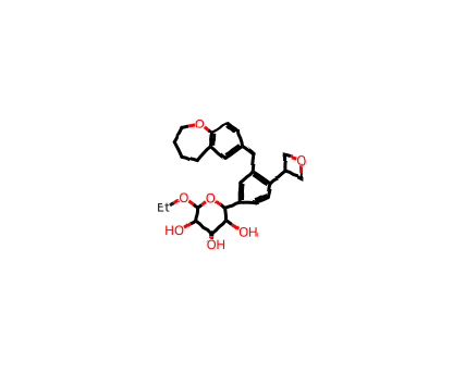 CCOC1OC(c2ccc(C3COC3)c(Cc3ccc4c(c3)CCCCO4)c2)C(O)C(O)C1O